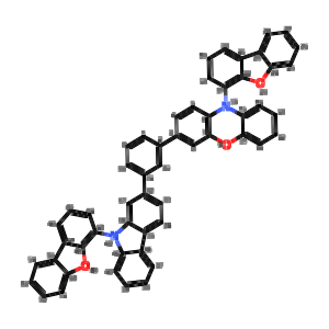 c1cc(-c2ccc3c(c2)Oc2ccccc2N3c2cccc3c2oc2ccccc23)cc(-c2ccc3c4ccccc4n(-c4cccc5c4oc4ccccc45)c3c2)c1